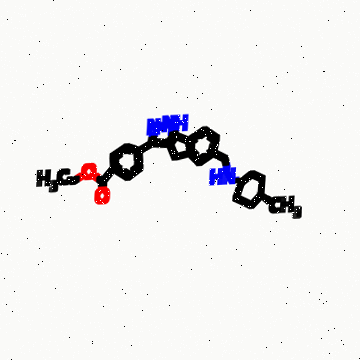 CCOC(=O)c1ccc(-c2n[nH]c3c2Cc2cc(CN[C@H]4CC[C@H](C)CC4)ccc2-3)cc1